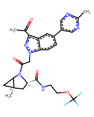 CC(=O)c1nn(CC(=O)N2C3C[C@]3(C)C[C@H]2C(=O)NCCOC(F)(F)F)c2ccc(-c3cnc(C)nc3)cc12